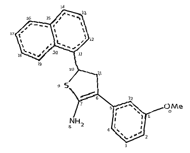 COc1cccc(C2=C(N)SC(c3cccc4ccccc34)[CH]2)c1